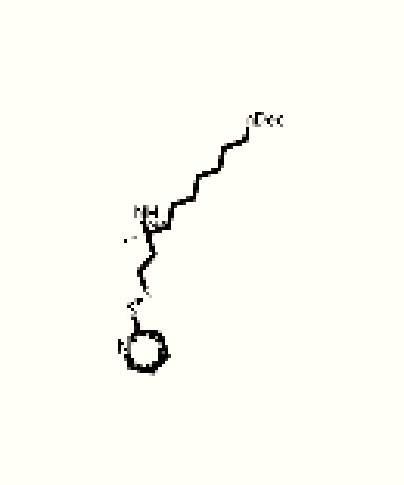 CCCCCCCCCCCCCCCCC[C@](C)(N)CCSSc1ccccn1